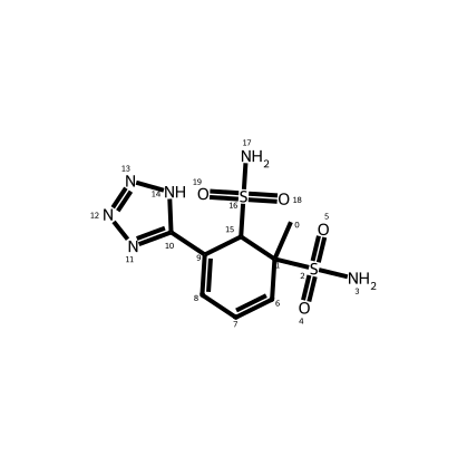 CC1(S(N)(=O)=O)C=CC=C(c2nnn[nH]2)C1S(N)(=O)=O